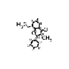 CCc1cccc2c(=O)c(C)c(-c3ccccc3)oc12